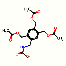 CC(=O)OCc1cc(COC(C)=O)c(COC(C)=O)cc1CNC(=O)S